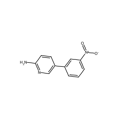 Nc1ccc(-c2cccc([N+](=O)[O-])c2)cn1